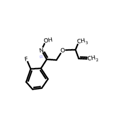 C=CC(C)OC/C(=N\O)c1ccccc1F